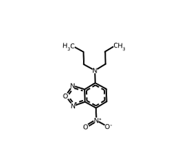 CCCN(CCC)c1ccc([N+](=O)[O-])c2nonc12